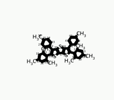 Cc1ccc(-c2c(-c3c(C)cc(C)cc3C)sc3c2sc2c(-c4ccc(C)cc4)c(-c4c(C)cc(C)cc4C)sc23)cc1